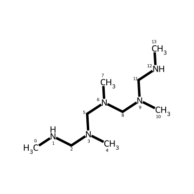 CNCN(C)CN(C)CN(C)CNC